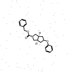 O=C(OCc1ccccc1)N1C[C@H]2CC(Oc3ccccc3)C[C@H]2C1